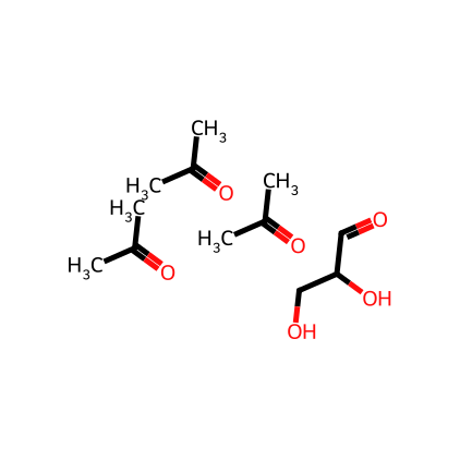 CC(C)=O.CC(C)=O.CC(C)=O.O=CC(O)CO